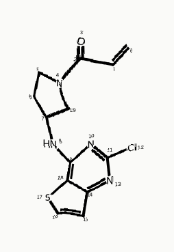 C=CC(=O)N1CCC(Nc2nc(Cl)nc3ccsc23)C1